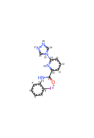 O=C(Nc1ccccc1I)c1cccc(-n2cnnc2)n1